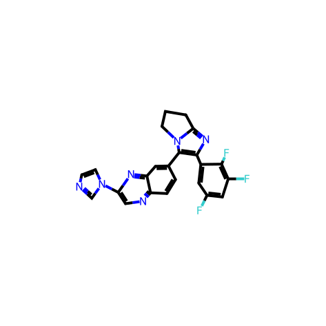 Fc1cc(F)c(F)c(-c2nc3n(c2-c2ccc4ncc(-n5ccnc5)nc4c2)CCC3)c1